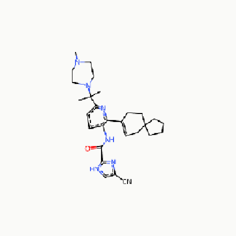 CN1CCN(C(C)(C)c2ccc(NC(=O)c3nc(C#N)c[nH]3)c(C3=CCC4(CCCC4)CC3)n2)CC1